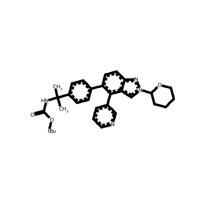 CC(C)(C)OC(=O)NC(C)(C)c1ccc(-c2ccc3nn(C4CCCCO4)cc3c2-c2cccnc2)cc1